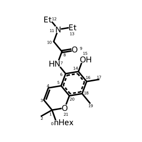 CCCCCCC1(C)C=Cc2c(NC(=O)CN(CC)CC)c(O)c(C)c(C)c2O1